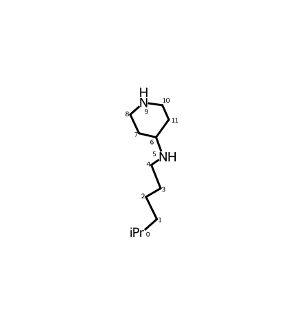 CC(C)CCCCNC1CCNCC1